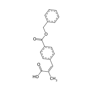 CC(=Cc1ccc(C(=O)OCc2ccccc2)cc1)C(=O)O